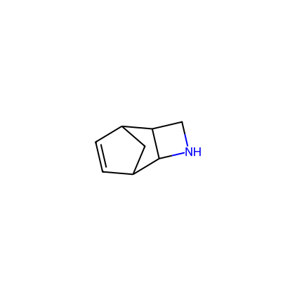 C1=CC2CC1C1CNC21